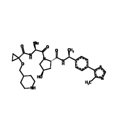 Cc1ncsc1-c1ccc([C@H](C)NC(=O)[C@@H]2C[C@@H](O)CN2C(=O)[C@@H](NC(=O)C2(OCC3CCNCC3)CC2)C(C)(C)C)cc1